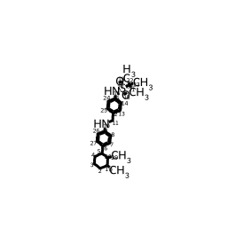 CC1CCCC(c2ccc(NCc3ccc(NS(=O)(=O)C(C)(C)C)cc3)cc2)C1C